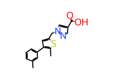 Cc1cccc(-c2cc(Cn3cc(C(=O)O)cn3)sc2C)c1